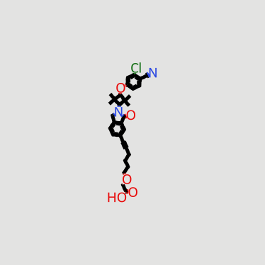 CC1(C)C(Oc2ccc(C#N)c(Cl)c2)C(C)(C)C1N1Cc2ccc(C#CCCCCOCC(=O)O)cc2C1=O